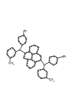 Cc1cccc(N(c2ccc(C(C)C)cc2)c2cc3cccc4c(N(c5ccc(C(C)C)cc5)c5cccc(C(F)(F)F)c5)cc5cccc2c5c34)c1